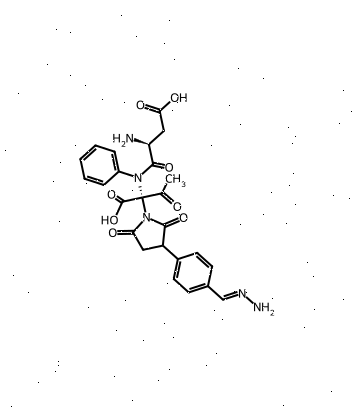 CC(=O)[C@](C(=O)O)(N1C(=O)CC(c2ccc(C=NN)cc2)C1=O)N(C(=O)[C@@H](N)CC(=O)O)c1ccccc1